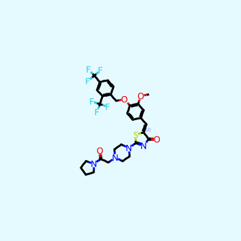 COc1cc(/C=C2\SC(N3CCN(CC(=O)N4CCCC4)CC3)=NC2=O)ccc1OCc1ccc(C(F)(F)F)cc1C(F)(F)F